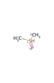 C[SH](C)#P